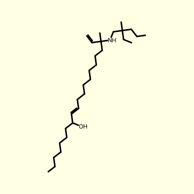 C=CC(C)(CCCCCCCC/C=C/C(O)CCCCCCC)NCC(C)(CC)CCC